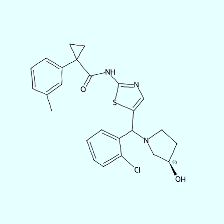 Cc1cccc(C2(C(=O)Nc3ncc(C(c4ccccc4Cl)N4CC[C@@H](O)C4)s3)CC2)c1